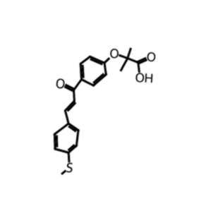 CSc1ccc(C=CC(=O)c2ccc(OC(C)(C)C(=O)O)cc2)cc1